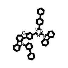 c1ccc(-c2ccc(-c3nc(-c4ccc5c(c4)oc4ccc6c7ccccc7n(-c7cccc(-c8ccccc8)c7)c6c45)nc(-n4c5ccccc5c5ccccc54)n3)cc2)cc1